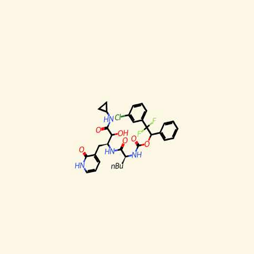 CCCC[C@H](NC(=O)OC(c1ccccc1)C(F)(F)c1cccc(Cl)c1)C(=O)N[C@@H](Cc1ccc[nH]c1=O)C(O)C(=O)NC1CC1